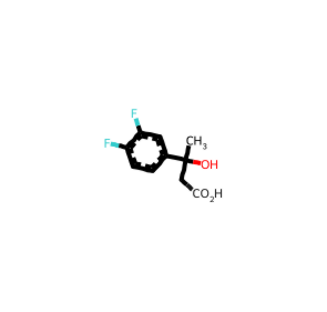 CC(O)(CC(=O)O)c1ccc(F)c(F)c1